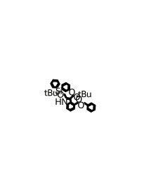 CC(C)(C)OC(=O)c1c(CO[Si](c2ccccc2)(c2ccccc2)C(C)(C)C)[nH]c2cccc(C(=O)OCc3ccccc3)c12